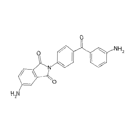 Nc1cccc(C(=O)c2ccc(N3C(=O)c4ccc(N)cc4C3=O)cc2)c1